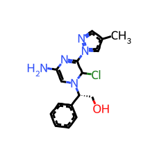 Cc1cnn(C2=NC(N)=CN([C@H](CO)c3ccccc3)C2Cl)c1